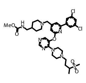 COC(=O)NCC1CCN(Cc2cc(Oc3cncnc3N3CCN(CCC(C)S(C)(=O)=O)CC3)nc(-c3cc(Cl)cc(Cl)c3)c2)CC1